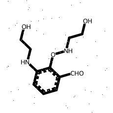 O=Cc1cccc(NCCO)c1ONCCO